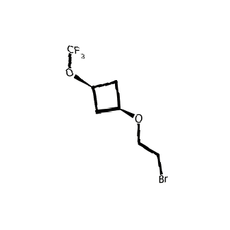 FC(F)(F)O[C@H]1C[C@@H](OCCBr)C1